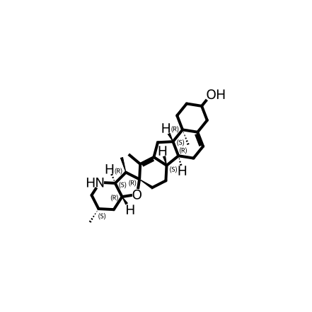 CC1=C2C[C@H]3[C@@H](CC=C4CC(O)CC[C@@]43C)[C@@H]2CC[C@]12O[C@@H]1C[C@H](C)CN[C@H]1[C@H]2C